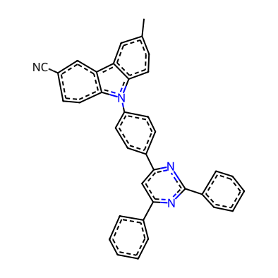 Cc1ccc2c(c1)c1cc(C#N)ccc1n2-c1ccc(-c2cc(-c3ccccc3)nc(-c3ccccc3)n2)cc1